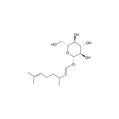 CC(C)=CCCC(C)C=CO[C@@H]1O[C@H](CO)[C@@H](O)[C@H](O)[C@H]1O